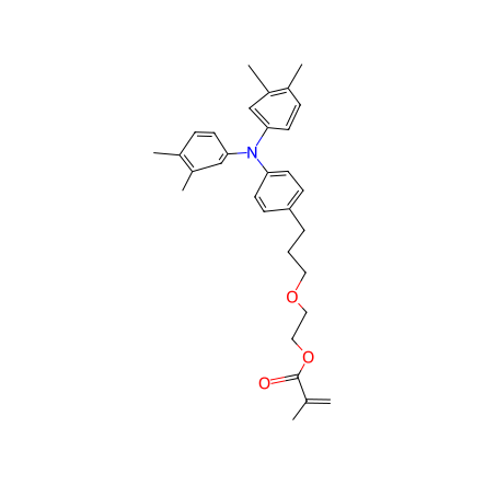 C=C(C)C(=O)OCCOCCCc1ccc(N(c2ccc(C)c(C)c2)c2ccc(C)c(C)c2)cc1